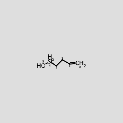 C=CCC[SiH2]O